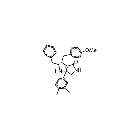 COc1ccc(CCN2C(=O)NCC2(NCCc2ccccc2)c2ccc(C)c(C)c2)cc1